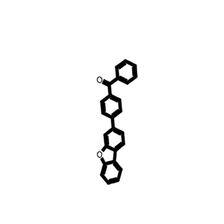 O=C(c1ccccc1)c1ccc(-c2ccc3c(c2)oc2ccccc23)cc1